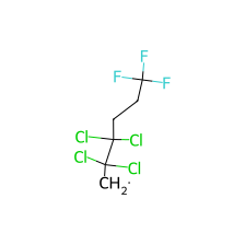 [CH2]C(Cl)(Cl)C(Cl)(Cl)CCC(F)(F)F